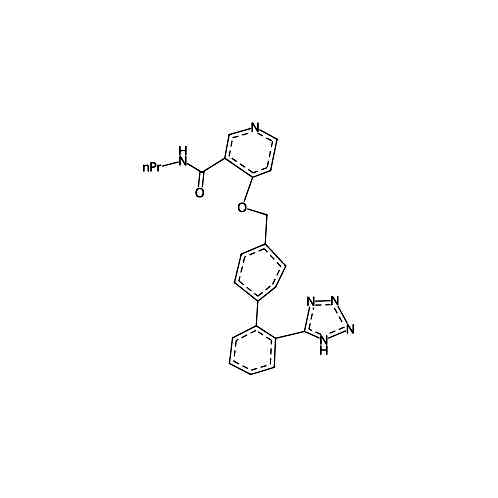 CCCNC(=O)c1cnccc1OCc1ccc(-c2ccccc2-c2nnn[nH]2)cc1